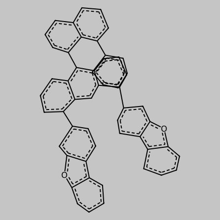 c1ccc(-c2cccc3cccc(-c4c5cccc(-c6ccc7c(c6)oc6ccccc67)c5cc5c(-c6ccc7c(c6)oc6ccccc67)cccc45)c23)cc1